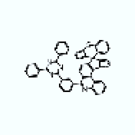 c1ccc(-c2nc(-c3ccccc3)nc(-c3cccc(-c4nc5ccccc5c5c6c(ccc45)C4(c5ccccc5Sc5ccccc54)c4ccccc4-6)c3)n2)cc1